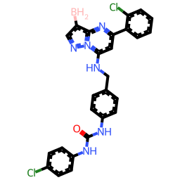 Bc1cnn2c(NCc3ccc(NC(=O)Nc4ccc(Cl)cc4)cc3)cc(-c3ccccc3Cl)nc12